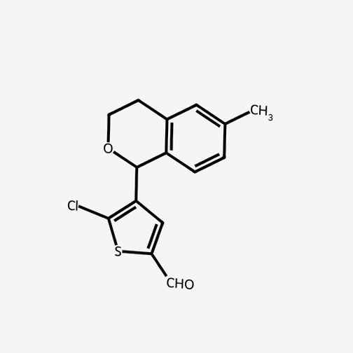 Cc1ccc2c(c1)CCOC2c1cc(C=O)sc1Cl